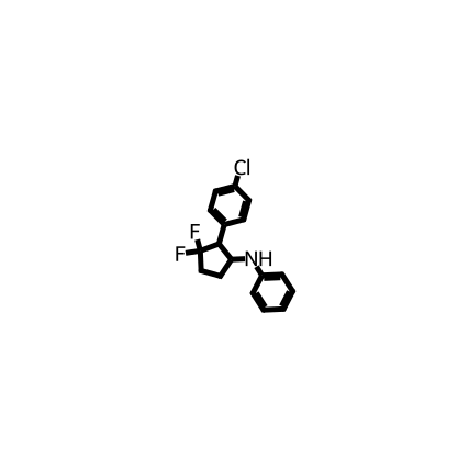 FC1(F)CCC(Nc2ccccc2)C1c1ccc(Cl)cc1